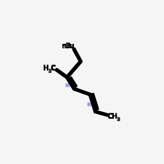 C/C=C/C=C(/C)CCCCC